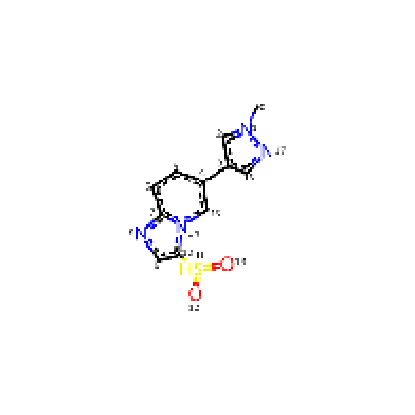 Cn1cc(-c2ccc3ncc([SH](=O)=O)n3c2)cn1